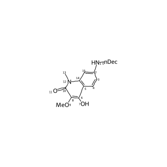 CCCCCCCCCCNc1ccc2c(O)c(OC)c(=O)n(C)c2c1